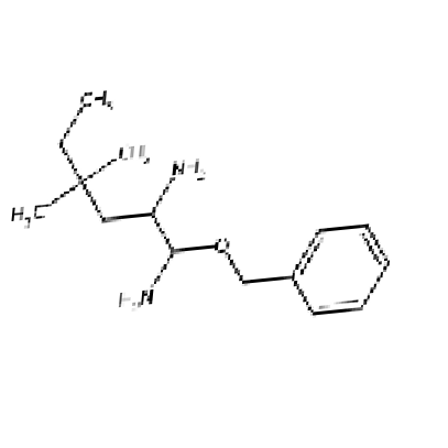 CCC(C)(C)CC(N)C(N)OCc1ccccc1